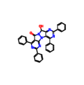 O=c1c2c(-c3ccccc3)nc(-c3ccccc3)nc2n2n1C(O)c1nc(-c3ccccc3)nc(-c3ccccc3)c1-2